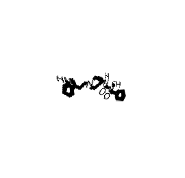 O=C(NC1CCN(CCc2c[nH]c3ccccc23)CC1)N(S)C(=O)c1ccccc1